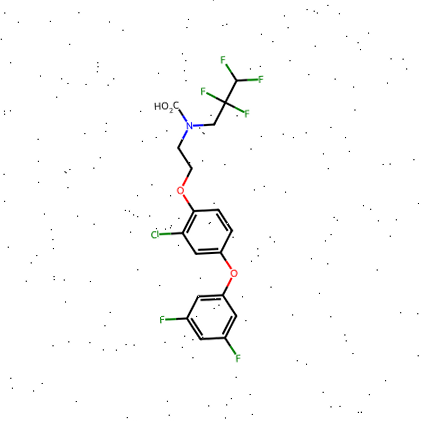 O=C(O)N(CCOc1ccc(Oc2cc(F)cc(F)c2)cc1Cl)CC(F)(F)C(F)F